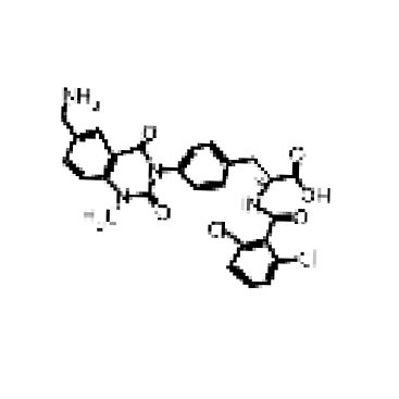 Cn1c(=O)n(-c2ccc(C[C@H](NC(=O)c3c(Cl)cccc3Cl)C(=O)O)cc2)c(=O)c2cc(CN)ccc21